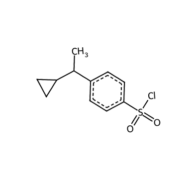 CC(c1ccc(S(=O)(=O)Cl)cc1)C1CC1